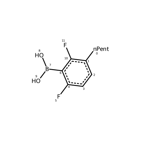 CCCCCc1ccc(F)c(B(O)O)c1F